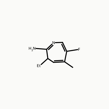 CCC1C=C(C)C(F)=CN=C1N